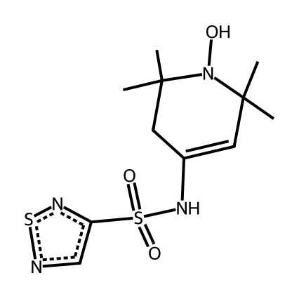 CC1(C)C=C(NS(=O)(=O)c2cnsn2)CC(C)(C)N1O